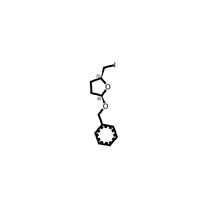 IC[C@@H]1CC[C@H](OCc2ccccc2)O1